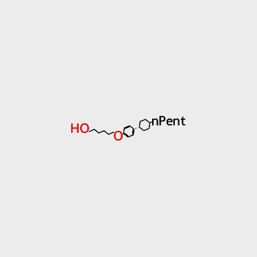 CCCCC[C@H]1CC[C@H](c2ccc(OCCCCCCO)cc2)CC1